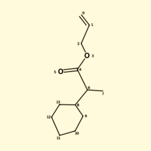 C=CCOC(=O)C(C)C1CCCCC1